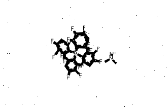 C[NH+](C)C.Fc1cc(F)c([B-](c2c(F)cc(F)c(F)c2F)(c2c(F)cc(F)c(F)c2F)c2c(F)cc(F)c(F)c2F)c(F)c1F